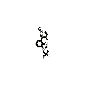 CC1=C(c2cccc3c2ncn3CC(F)(F)F)C[NH+]([O-])C=C1